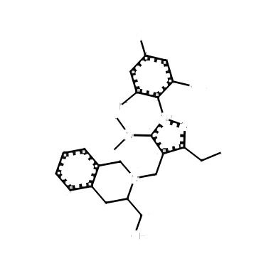 CCc1nn(-c2c(Cl)cc(Cl)cc2Cl)c(N(C)C)c1CN1Cc2ccccc2CC1CO